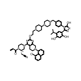 C=CC(=O)N1CCN(c2nc(OCCN3CCC(N4CCN(Cc5ccc(-n6c(O)nnc6-c6cc(C(C)C)c(O)cc6O)cc5)CC4)CC3)nc3c2CCN(c2cccc4cccc(Cl)c24)C3)C[C@@H]1CC#N